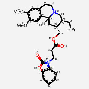 COc1cc2c(cc1OC)[C@H]1C[C@@H](COC(=O)CCn3c(=O)oc4ccccc43)[C@H](CC(C)C)CN1CC2